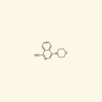 Oc1ncc(N2CCOCC2)c2ccccc12